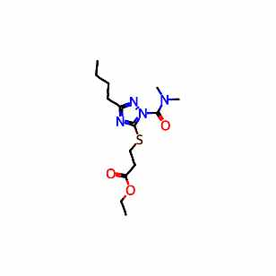 CCCCc1nc(SCCC(=O)OCC)n(C(=O)N(C)C)n1